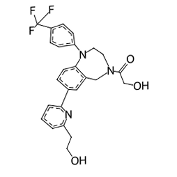 O=C(CO)N1CCN(c2ccc(C(F)(F)F)cc2)c2ccc(-c3cccc(CCO)n3)cc2C1